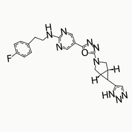 Fc1ccc(CCNc2ncc(-c3nnc(N4C[C@@H]5C(c6cnn[nH]6)[C@@H]5C4)o3)cn2)cc1